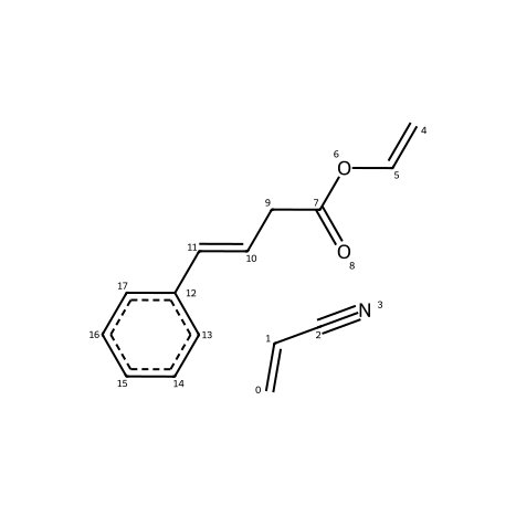 C=CC#N.C=COC(=O)CC=Cc1ccccc1